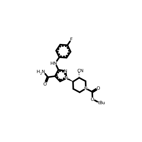 CC(C)(C)OC(=O)N1CC[C@@H](n2cc(C(N)=O)c(Nc3ccc(F)cc3)n2)[C@H](C#N)C1